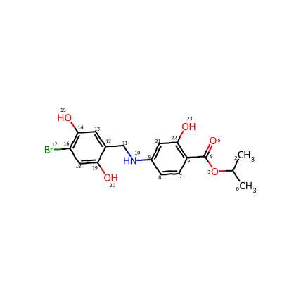 CC(C)OC(=O)c1ccc(NCc2cc(O)c(Br)cc2O)cc1O